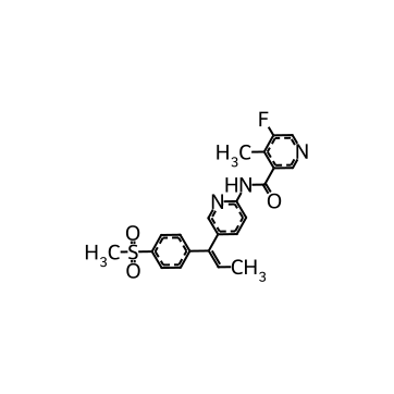 CC=C(c1ccc(S(C)(=O)=O)cc1)c1ccc(NC(=O)c2cncc(F)c2C)nc1